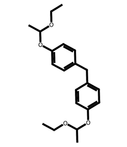 CCOC(C)Oc1ccc(Cc2ccc(OC(C)OCC)cc2)cc1